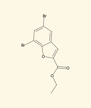 CCOC(=O)c1cc2cc(Br)cc(Br)c2o1